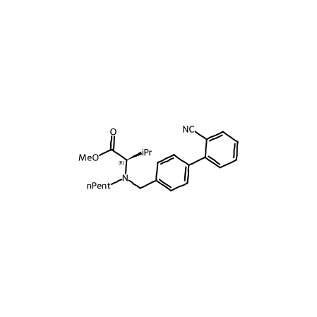 CCCCCN(Cc1ccc(-c2ccccc2C#N)cc1)[C@@H](C(=O)OC)C(C)C